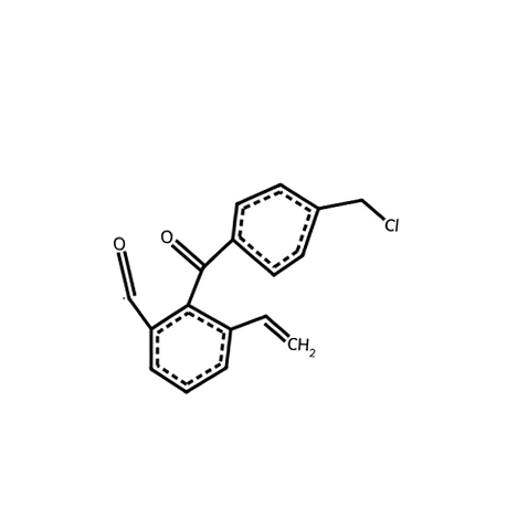 C=Cc1cccc([C]=O)c1C(=O)c1ccc(CCl)cc1